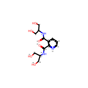 O=C(NC(CO)CO)c1cccnc1C(=O)NC(CO)CO